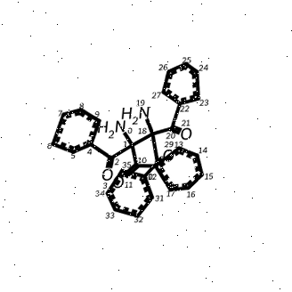 NC(C(=O)c1ccccc1)(C(=O)c1ccccc1)C(N)(C(=O)c1ccccc1)C(=O)c1ccccc1